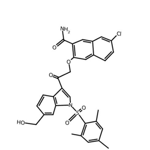 Cc1cc(C)c(S(=O)(=O)n2cc(C(=O)COc3cc4ccc(Cl)cc4cc3C(N)=O)c3ccc(CO)cc32)c(C)c1